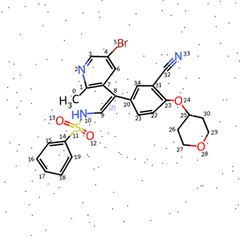 Cc1ncc(Br)cc1/C(=C\NS(=O)(=O)c1ccccc1)c1ccc(OC2CCOCC2)c(C#N)c1